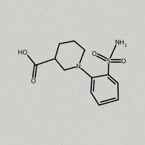 NS(=O)(=O)c1ccccc1N1CCCC(C(=O)O)C1